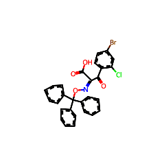 O=C(O)C(=NOC(c1ccccc1)(c1ccccc1)c1ccccc1)C(=O)c1ccc(Br)cc1Cl